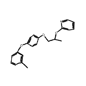 Cc1cccc(Oc2ccc(OCC(C)Oc3ccccn3)cc2)c1